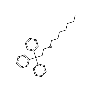 CCCCCCCNCCC(c1ccccc1)(c1ccccc1)c1ccccc1